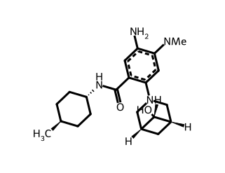 CNc1cc(N2C[C@H]3C[C@@H](C2)[C@H]3O)c(C(=O)N[C@H]2CC[C@H](C)CC2)cc1N